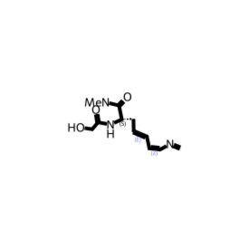 C=N/C=C\C=C\C[C@H](NC(=O)CO)C(=O)NC